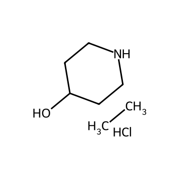 CC.Cl.OC1CCNCC1